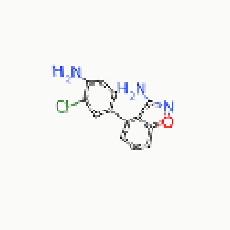 Nc1ccc(-c2cccc3onc(N)c23)cc1Cl